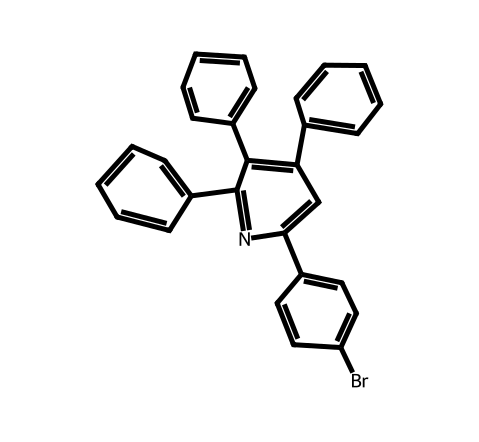 Brc1ccc(-c2cc(-c3ccccc3)c(-c3ccccc3)c(-c3ccccc3)n2)cc1